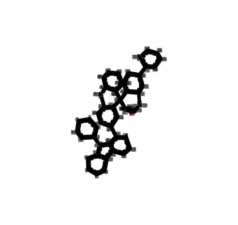 c1ccc(-n2c3ccccc3c3cccc(-c4ccc5c(c4)C4(c6ccccc6Sc6cc(-c7ccccn7)ccc64)c4ccccc4S5)c32)cc1